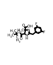 CC(C)(C)OC(=O)C1NC(Cc2cc(F)cc(F)c2)=NC1(C)C(=O)O